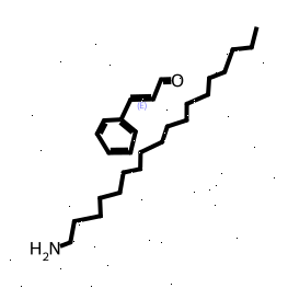 CCCCCCCCCCCCCCCCCCN.O=C/C=C/c1ccccc1